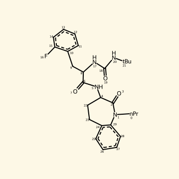 CCCN1C(=O)C(NC(=O)C(Cc2ccccc2F)NC(=O)NC(C)(C)C)CCc2ccccc21